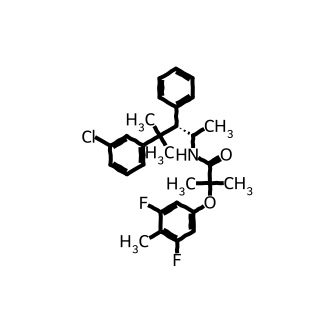 Cc1c(F)cc(OC(C)(C)C(=O)NC(C)[C@@H](c2ccccc2)C(C)(C)c2cccc(Cl)c2)cc1F